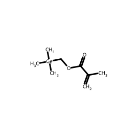 C=C(C)C(=O)O[CH2][Ge]([CH3])([CH3])[CH3]